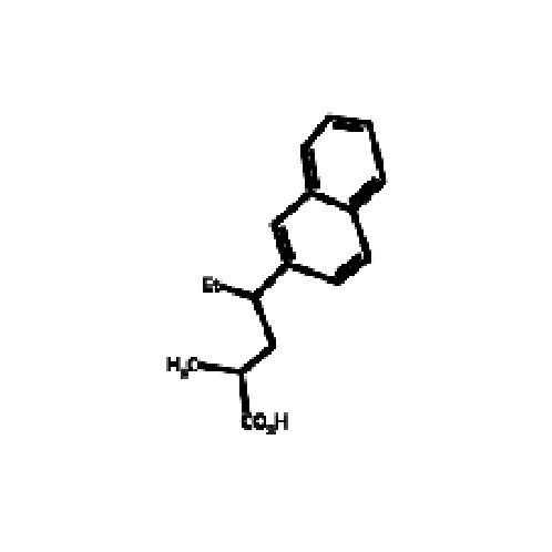 CCC(CC(C)C(=O)O)c1ccc2ccccc2c1